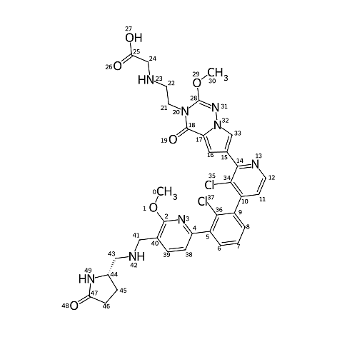 COc1nc(-c2cccc(-c3ccnc(-c4cc5c(=O)n(CCNCC(=O)O)c(OC)nn5c4)c3Cl)c2Cl)ccc1CNC[C@@H]1CCC(=O)N1